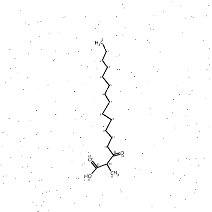 CCCCCCCCCCCCCC(=O)C(C)C(=O)O